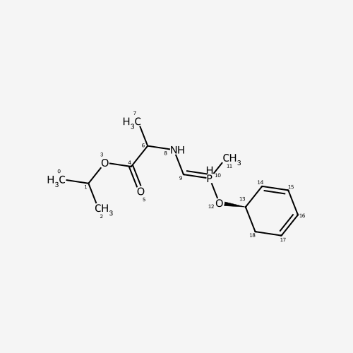 CC(C)OC(=O)C(C)N/C=[PH](\C)O[C@H]1C=CC=CC1